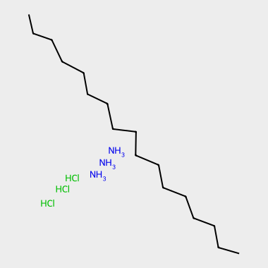 CCCCCCCCCCCCCCCCC.Cl.Cl.Cl.N.N.N